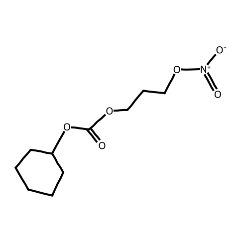 O=C(OCCCO[N+](=O)[O-])OC1CCCCC1